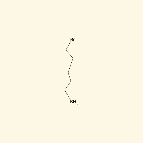 BCCCCCBr